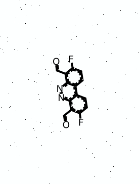 O=Cc1c(F)ccc2c1nnc1c(C=O)c(F)ccc12